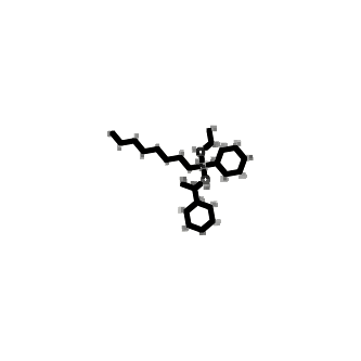 CCCCCCCC[Si](OCC)(OC(C)C1CCCCC1)C1CCCCC1